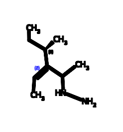 C/C=C(\C(C)NN)[C@H](C)CC